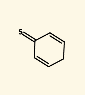 S=C1C=CCC=C1